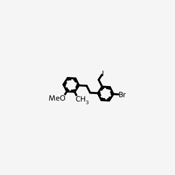 COc1cccc(CCc2ccc(Br)cc2CI)c1C